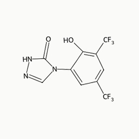 O=c1[nH]ncn1-c1cc(C(F)(F)F)cc(C(F)(F)F)c1O